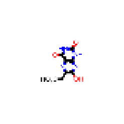 O=C(O)Cc1nc2c(=O)[nH]c(=O)[nH]c2nc1O